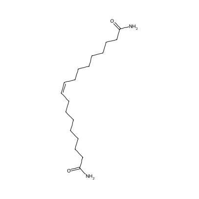 NC(=O)CCCCCCC/C=C\CCCCCCCC(N)=O